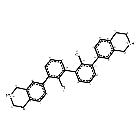 Clc1c(-c2ccc3c(c2)CNCC3)cccc1-c1cccc(-c2ccc3c(c2)CNCC3)c1Cl